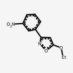 CCOc1cc(-c2cccc([N+](=O)[O-])c2)no1